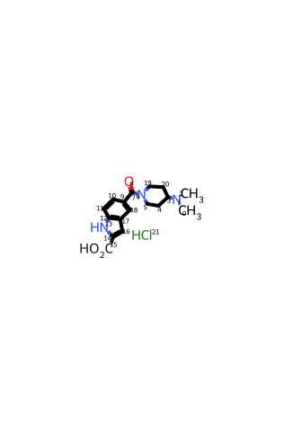 CN(C)C1CCN(C(=O)c2ccc3[nH]c(C(=O)O)cc3c2)CC1.Cl